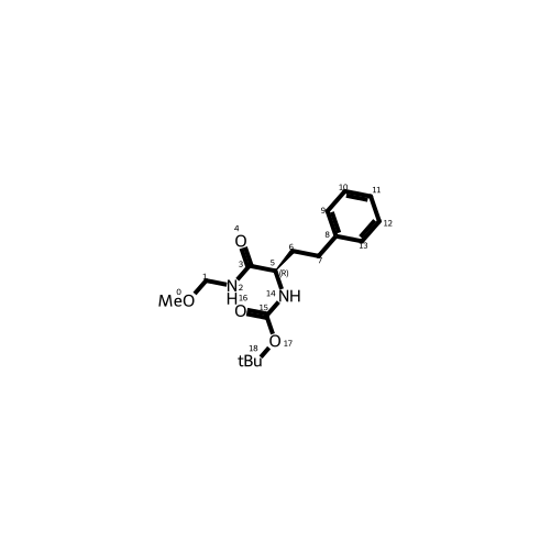 COCNC(=O)[C@@H](CCc1ccccc1)NC(=O)OC(C)(C)C